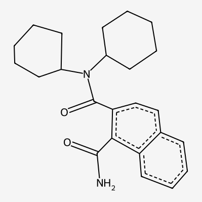 NC(=O)c1c(C(=O)N(C2CCCCC2)C2CCCCC2)ccc2ccccc12